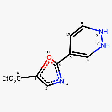 CCOC(=O)c1cnc(C2=CNNC=C2)o1